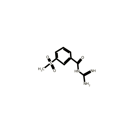 CS(=O)(=O)c1cccc(C(=O)NC(=N)N)c1